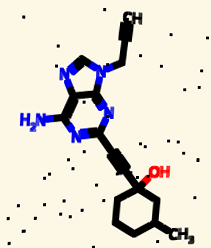 C#CCn1cnc2c(N)nc(C#CC3(O)CCCC(C)C3)nc21